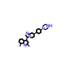 Cc1cc(-c2cnc3cc(-c4ccc(N5CCNCC5)cc4)ccn23)c2cccc(C)c2n1